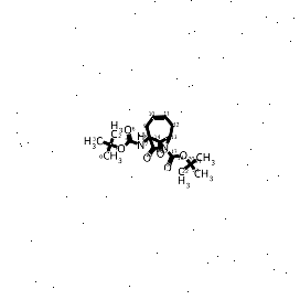 CC(C)(C)OC(=O)NC12CC=CCC(C1=O)N(C(=O)OC(C)(C)C)C2=O